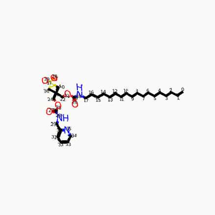 CCCCCCCCCCCCCCCCCCNC(=O)OCC1(COC(=O)NCc2ccccn2)CS(=O)(=O)C1